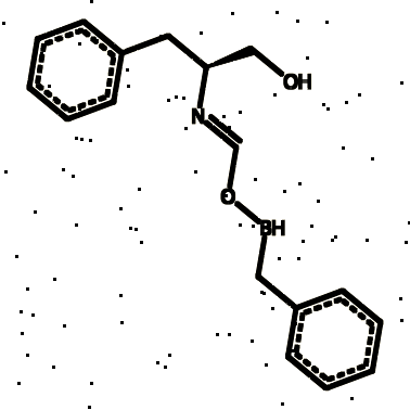 OC[C@H](Cc1ccccc1)N=COBCc1ccccc1